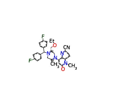 CCOC[C@@H]1CN(c2cc(=O)n(C)c3ccc(C#N)nc23)[C@@H](C)CN1C(c1ccc(F)cc1)c1ccc(F)cc1